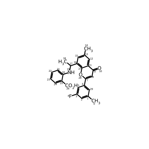 Cc1cc(F)cc(-c2cc(=O)c3cc(C)cc(C(C)Nc4ccccc4C(=O)O)c3o2)c1